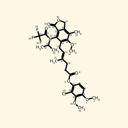 COc1ccc(OC(=O)CC/C(C)=C/Cc2c(OC)c(C)c3c(c2N(C(=O)C(F)(F)F)C(C)C)C(=O)OC3)c(Cl)c1OC